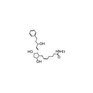 CCNC(=O)CCC/C=C\C[C@@H]1[C@@H](/C=C/C(O)CCc2ccccc2)[C@@H](O)C[C@@H]1O